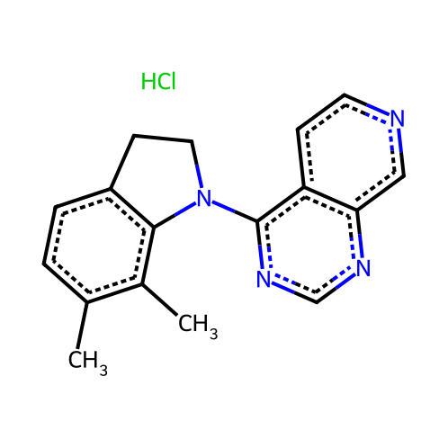 Cc1ccc2c(c1C)N(c1ncnc3cnccc13)CC2.Cl